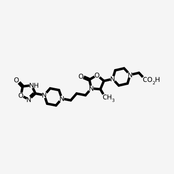 CC1C(N2CCN(CC(=O)O)CC2)OC(=O)N1CCCN1CCN(c2noc(=O)[nH]2)CC1